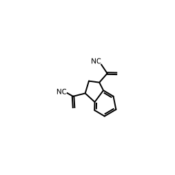 C=C(C#N)C1CC(C(=C)C#N)c2ccccc21